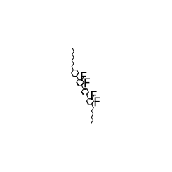 CCCCCCCC1CC=C(c2ccc(-c3ccc(-c4ccc(CCCCCC)c(F)c4F)cc3)c(F)c2F)CC1